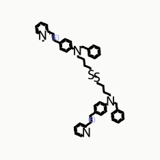 C[n+]1ccccc1/C=C/c1ccc(N(CCCCSSCCCCN(Cc2ccccc2)c2ccc(/C=C/c3ccccn3)cc2)Cc2ccccc2)cc1